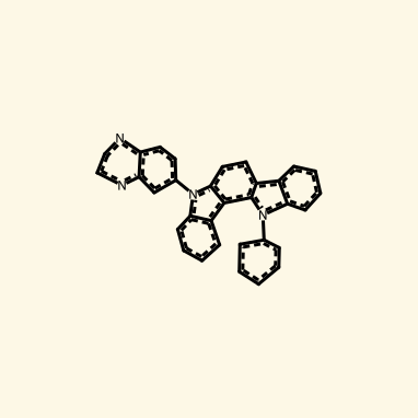 c1ccc(-n2c3ccccc3c3ccc4c(c5ccccc5n4-c4ccc5nccnc5c4)c32)cc1